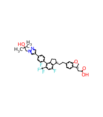 CC(C)(O)Cn1cc(-c2ccc(-c3c(C(F)(F)F)cc(F)c4c3CC[C@H]4CCc3ccc4c(c3)OC[C@H]4CC(=O)O)cc2)cn1